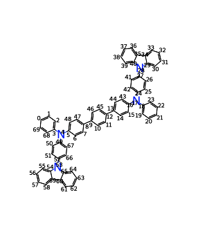 c1ccc(N(c2ccc(-c3ccc(-c4ccc(N(c5ccccc5)c5ccc(-n6c7ccccc7c7ccccc76)cc5)cc4)cc3)cc2)c2ccc(-n3c4ccccc4c4ccccc43)cc2)cc1